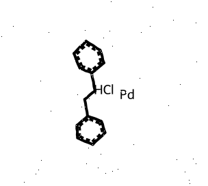 Cl.[Pd].c1ccc(CCc2ccccc2)cc1